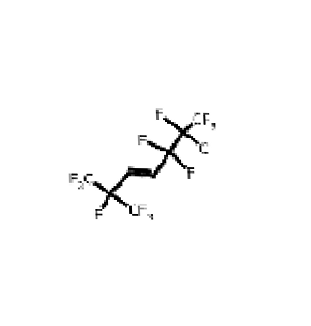 FC(F)(F)C(F)(Cl)C(F)(F)C=CC(F)(C(F)(F)F)C(F)(F)F